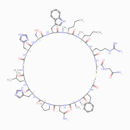 CCCC[C@H]1C(=O)N(C)[C@@H](CCCC)C(=O)N[C@@H](CCCNC(=N)N)C(=O)N[C@H](C(=O)NCC(N)=O)CSCC(=O)NC(Cc2ccccc2)C(=O)N(C)[C@@H](C)C(=O)N[C@@H](CC(N)=O)C(=O)N2CCC[C@H]2C(=O)N[C@@H](Cc2cnc[nH]2)C(=O)N[C@@H](CC(C)C)C(=O)N(C)CC(=O)N[C@@H](Cc2c[nH]cn2)C(=O)N[C@@H](CO)C(=O)N[C@@H](Cc2c[nH]c3ccccc23)C(=O)N1C